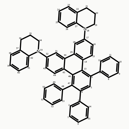 c1ccc(-c2cc(-c3ccccc3)c3c4ccc(N5CCCc6ccccc65)cc4c4cc(N5CCCc6ccccc65)ccc4c3c2-c2ccccc2)cc1